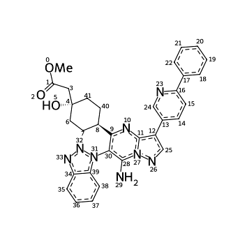 COC(=O)C[C@]1(O)CC[C@H](c2nc3c(-c4ccc(-c5ccccc5)nc4)cnn3c(N)c2-n2nnc3ccccc32)CC1